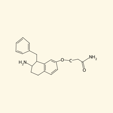 NC(=O)CCOc1ccc2c(c1)C(Cc1ccccc1)C(N)CC2